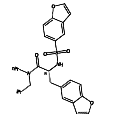 CCCN(CC(C)C)C(=O)[C@@H](Cc1ccc2occc2c1)NS(=O)(=O)c1ccc2occc2c1